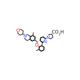 Cc1cc(COc2c(C)cccc2-c2cccc(N3CC[C@@H](C(=O)O)C3)n2)cc2c1CN(C1CCOCC1)CC2